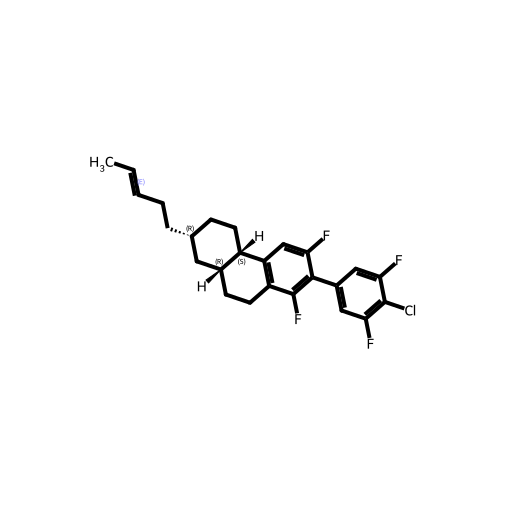 C/C=C/CC[C@@H]1CC[C@@H]2c3cc(F)c(-c4cc(F)c(Cl)c(F)c4)c(F)c3CC[C@@H]2C1